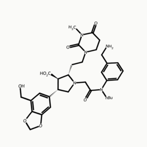 CCCCN(C(=O)CN1C[C@H](c2cc(CO)c3c(c2)OCO3)[C@@H](C(=O)O)[C@@H]1CCN1CCC(=O)N(C)C1=O)c1cccc(CN)c1